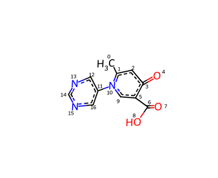 Cc1cc(=O)c(C(=O)O)cn1-c1cncnc1